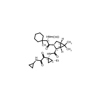 CC[C@@H]1C[C@@]1(NC(=O)[C@@H]1[C@@H]2[C@H](CN1C(=O)[C@@H](NC=O)C1(C)CCCCC1)C2(C)C)C(=O)C(=O)NC1CC1